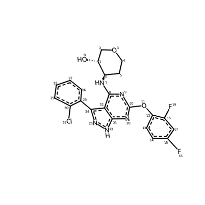 O[C@@H]1COCC[C@H]1Nc1nc(Oc2ccc(F)cc2F)nc2[nH]nc(-c3ccccc3Cl)c12